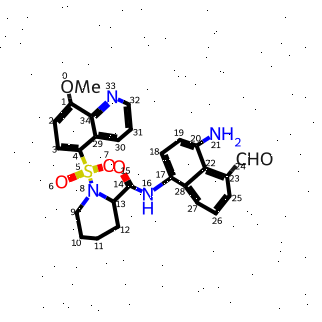 COc1ccc(S(=O)(=O)N2CCCCC2C(=O)Nc2ccc(N)c3c(C=O)cccc23)c2cccnc12